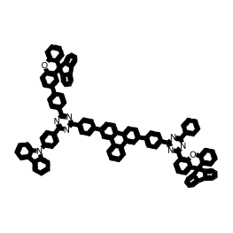 c1ccc(-c2nc(-c3ccc(-c4ccc5c6ccc(-c7ccc(-c8nc(-c9ccc(-c%10ccc%11c(c%10)C%10(c%12ccccc%12O%11)c%11ccccc%11-c%11ccccc%11%10)cc9)nc(-c9ccc(-n%10c%11ccccc%11c%11ccccc%11%10)cc9)n8)cc7)cc6c6ccccc6c5c4)cc3)nc(-c3cccc4c3Oc3ccccc3C43c4ccccc4-c4ccccc43)n2)cc1